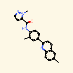 Cc1ccc2nc(-c3ccc(NC(=O)c4ccnn4C)c(C)c3)ccc2c1